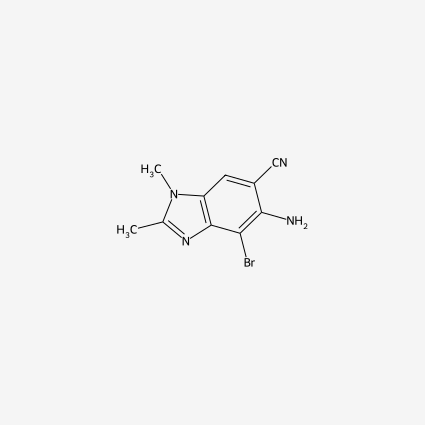 Cc1nc2c(Br)c(N)c(C#N)cc2n1C